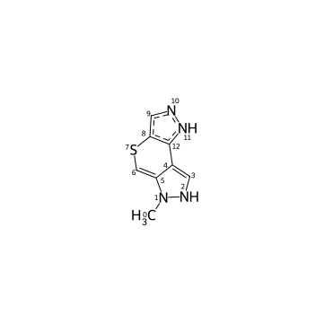 CN1NC=C2C1=CSc1cn[nH]c12